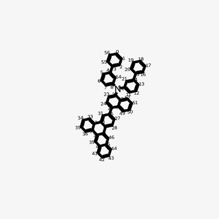 c1ccc(-c2cccc(N(c3cccc(-c4ccccc4)c3)c3ccc(-c4ccc5c(c4)c4ccccc4c4cc6ccccc6cc54)c4ccccc34)c2)cc1